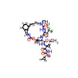 C=C[C@@H]1C[C@]1(NC(=O)[C@@H]1C[C@@H]2CN1C(=O)[C@H](CC(F)F)NC(=O)N(C)CC/C=C/c1cccc3c1CN(C3)C(=O)O2)C(=O)NS(=O)(=O)C1CC1